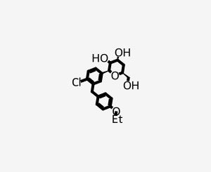 CCOc1ccc(Cc2cc([C@@H]3O[C@H](CO)C[C@H](O)C3O)ccc2Cl)cc1